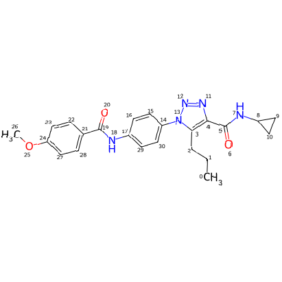 CCCc1c(C(=O)NC2CC2)nnn1-c1ccc(NC(=O)c2ccc(OC)cc2)cc1